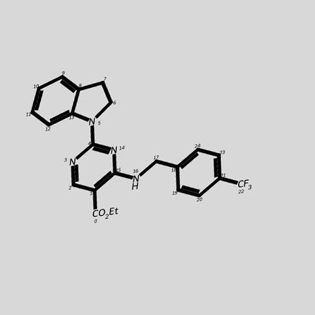 CCOC(=O)c1cnc(N2CCc3ccccc32)nc1NCc1ccc(C(F)(F)F)cc1